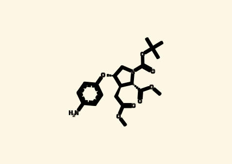 COC(=O)C[C@@H]1[C@@H](C(=O)OC)N(C(=O)OC(C)(C)C)C[C@H]1Oc1ccc(N)cc1